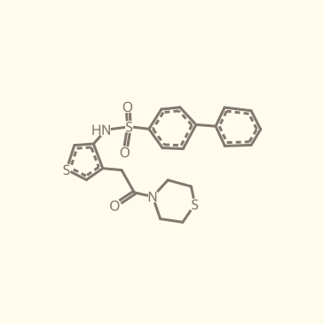 O=C(Cc1cscc1NS(=O)(=O)c1ccc(-c2ccccc2)cc1)N1CCSCC1